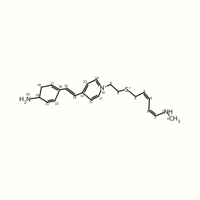 CN/C=C\C=C/CSCC[n+]1ccc(/C=C/C2=CCC(N)C=C2)cc1